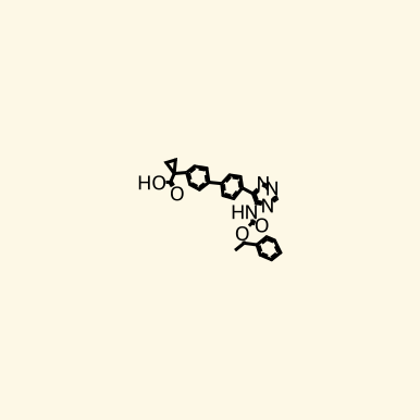 CC(OC(=O)Nc1ncnnc1-c1ccc(-c2ccc(C3(C(=O)O)CC3)cc2)cc1)c1ccccc1